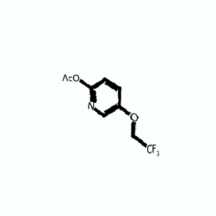 CC(=O)Oc1ccc(OCC(F)(F)F)cn1